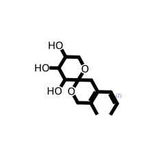 C/C=C\C1=C(C)COC2(C1)OCC(O)C(O)C2O